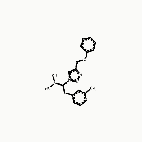 Cc1cccc(CC(B(O)O)n2cc(COc3ccccc3)nn2)c1